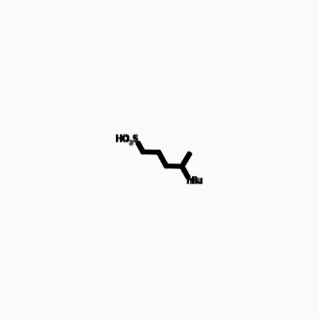 CCCCC(C)CCCS(=O)(=O)O